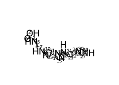 O=C(O)CNCCCNc1ccc(-c2ccnc(Nc3cccc(CN4CCNCC4)c3)n2)cn1